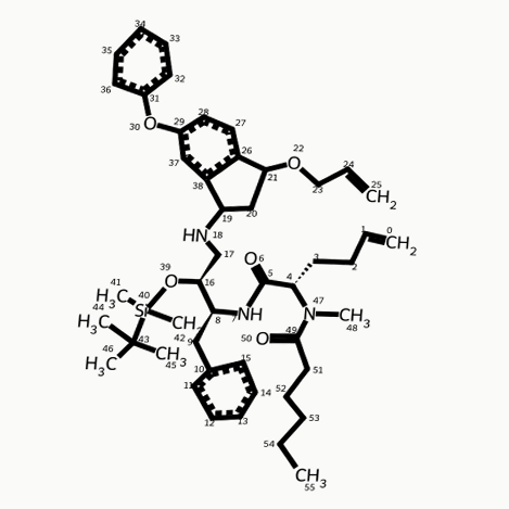 C=CCC[C@@H](C(=O)N[C@@H](Cc1ccccc1)[C@H](CNC1CC(OCC=C)c2ccc(Oc3ccccc3)cc21)O[Si](C)(C)C(C)(C)C)N(C)C(=O)CCCCC